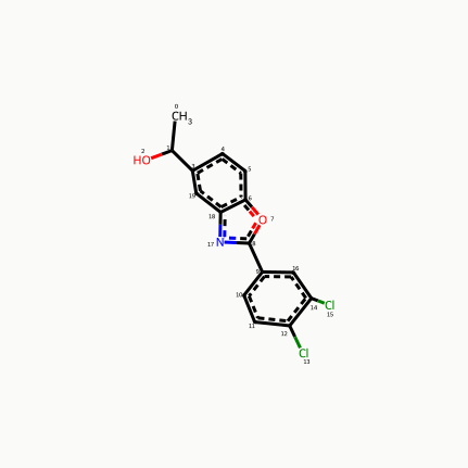 CC(O)c1ccc2oc(-c3ccc(Cl)c(Cl)c3)nc2c1